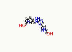 OCCn1cc(-c2cnc3nnn(Cc4ccc5ccc(CO)n5c4)c3n2)cn1